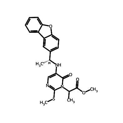 COC(=O)C(C)n1c(SC)ncc(N[C@H](C)c2ccc3oc4ccccc4c3c2)c1=O